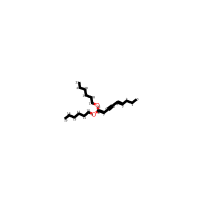 CCC/C=C/C#CC=C(OCCCCCC)OCCCCCC